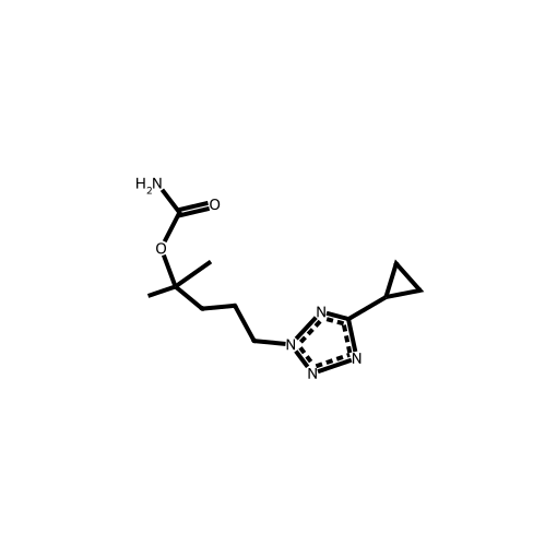 CC(C)(CCCn1nnc(C2CC2)n1)OC(N)=O